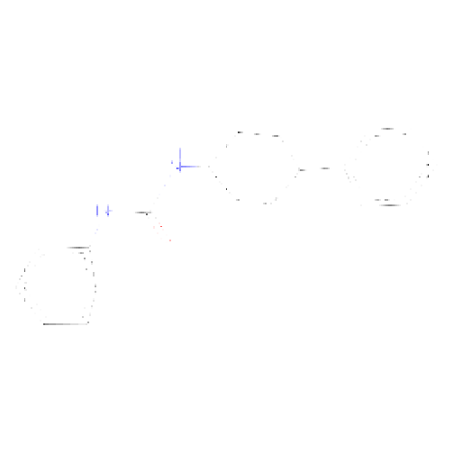 O=C(Nc1ccccc1)NC1CCC(c2ccccc2)CC1